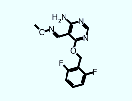 CON=Cc1c(N)ncnc1OCc1c(F)cccc1F